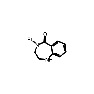 CCN1CCNc2ccccc2C1=O